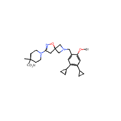 CCOc1cc(C2CC2)c(C2CC2)cc1CN1CC2(CC(N3CCC(C)(C(=O)O)CC3)=NO2)C1